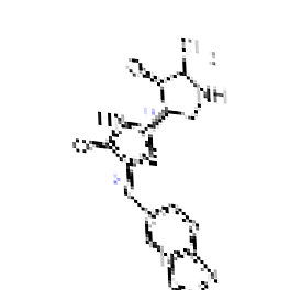 CC1NC/C(=c2/[nH]c(=O)/c(=C/c3ccc4nccn4c3)s2)C1=O